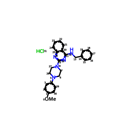 COc1ccc(N2CCN(c3nc(NCc4ccccc4)c4ccccc4n3)CC2)cc1.Cl